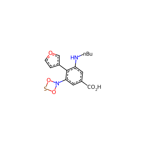 CCCCNc1cc(C(=O)O)cc(N2OSO2)c1-c1ccoc1